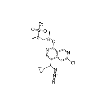 CCS(=O)(=O)[C@H](C)C[C@@H](C)Oc1ncc(C(N=[N+]=[N-])C2CC2)c2cc(Cl)ncc12